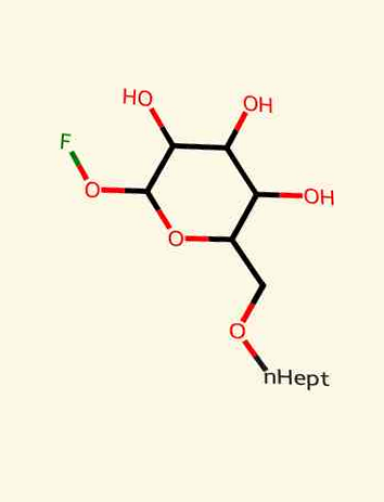 CCCCCCCOCC1OC(OF)C(O)C(O)C1O